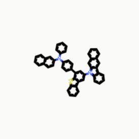 c1ccc(N(c2ccc(-c3cc(-n4c5ccccc5c5cc6ccccc6cc54)cc4c3sc3ccccc34)cc2)c2ccc3ccccc3c2)cc1